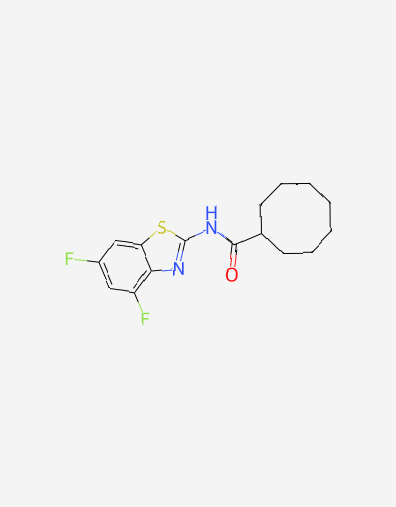 O=C(Nc1nc2c(F)cc(F)cc2s1)C1CCCCCCC1